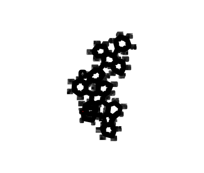 C1=c2c(n(-c3ccccc3)c3ccccc23)=C(c2c3ccccc3c(-c3cccc4oc5cc(-c6c7ccccc7c(-c7ccccc7)c7ccccc67)ccc5c34)c3ccccc23)CC1